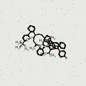 C=C1CC2C(CCc3ccc4c(sc5cc(-c6ccc(F)cc6)ccc54)c3-c3n(-c4c(C(C)C)cc(-c5ccccc5)cc4C(C)C)c4ccccc4[n+]31)c1ccccc1-c1ccc([Si](C)(C)C)c[n+]12